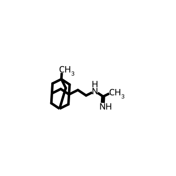 CC(=N)NCCC12CC3CC(CC(C)(C3)C1)C2